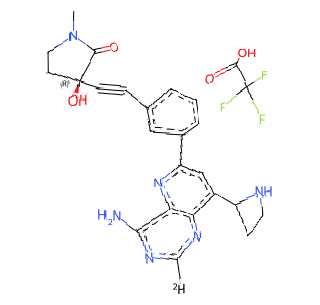 O=C(O)C(F)(F)F.[2H]c1nc(N)c2nc(-c3cccc(C#C[C@]4(O)CCN(C)C4=O)c3)cc(C3CCN3)c2n1